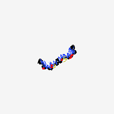 C1=CN=C(c2cccc(C3CC=CC(c4nnc(-c5ccc6c(ccc7nc(-c8nnc(C9CC=CC(c%10cccc(-c%11ccccn%11)n%10)=N9)s8)ccc76)n5)s4)=N3)n2)CC1